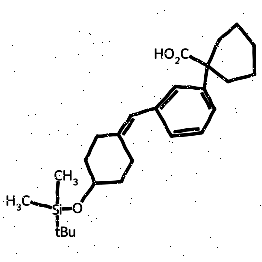 CC(C)(C)[Si](C)(C)OC1CCC(=Cc2cccc(C3(C(=O)O)CCCCC3)c2)CC1